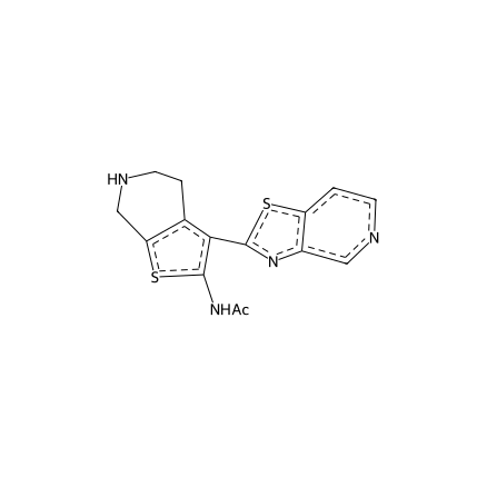 CC(=O)Nc1sc2c(c1-c1nc3cnccc3s1)CCNC2